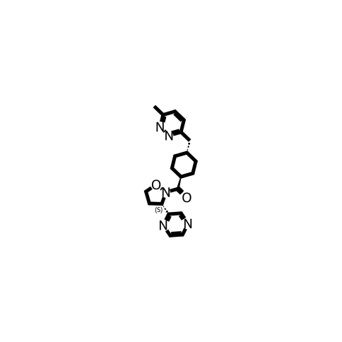 Cc1ccc(C[C@H]2CC[C@H](C(=O)N3OCC[C@H]3c3cnccn3)CC2)nn1